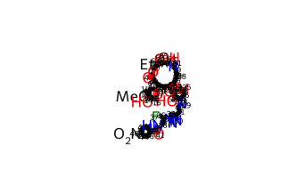 CC[C@H]1OC(=O)[C@H](C)[C@@H](C2C[C@@](C)(OC)[C@@H](O)[C@H](C)O2)[C@H](C)[C@@H](O[C@@H]2O[C@H](C)C[C@H](N(C)CCc3cn(C(CF)CNC(=O)c4ccc([N+](=O)[O-])cc4)nn3)[C@H]2O)[C@](C)(O)C[C@@H](C)CN(C)[C@H](C)[C@@H](O)[C@]1(C)O